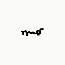 CCn1cc(CCCCNCC(C)C)nn1